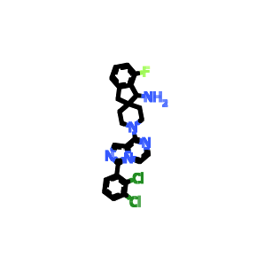 NC1c2c(F)cccc2CC12CCN(c1nccn3c(-c4cccc(Cl)c4Cl)ncc13)CC2